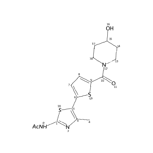 CC(=O)Nc1nc(C)c(-c2ccc(C(=O)N3CCC(O)CC3)s2)s1